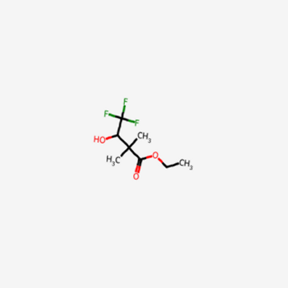 CCOC(=O)C(C)(C)C(O)C(F)(F)F